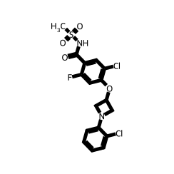 CS(=O)(=O)NC(=O)c1cc(Cl)c(OC2CN(c3ccccc3Cl)C2)cc1F